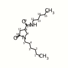 CCCCCCN1CC(C(=O)NCCCCC)CC1=O